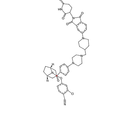 N#Cc1ccc(OC2C[C@H]3CC[C@@H](C2)N3C(=O)c2ccc(N3CCN(CC4CCN(c5ccc6c(c5)C(=O)N(C5CCC(=O)NC5=O)C6=O)CC4)CC3)cc2)cc1Cl